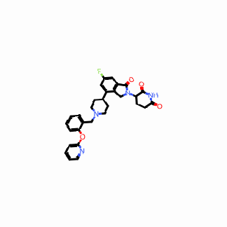 O=C1CCC(N2Cc3c(cc(F)cc3C3CCN(Cc4ccccc4Oc4ccccn4)CC3)C2=O)C(=O)N1